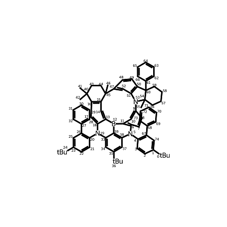 CC(C)(C)c1ccc(N2c3ccc4cc3B3c5cc6c(cc5N(c5ccc(C(C)(C)C)cc5-c5ccccc5)c5cc(C(C)(C)C)cc2c53)C(C)(C)CCC6(C)c2ccc3c(c2)N4C2(C)CCCCC32c2ccccc2)c(-c2ccccc2)c1